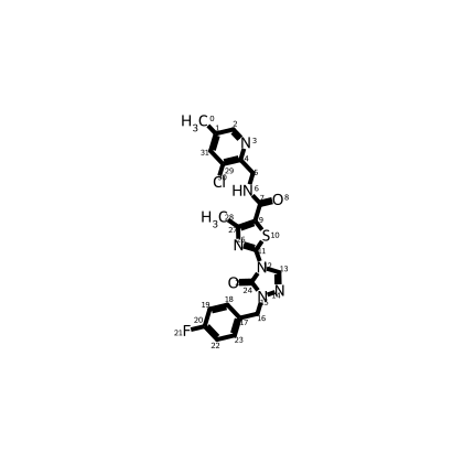 Cc1cnc(CNC(=O)c2sc(-n3cnn(Cc4ccc(F)cc4)c3=O)nc2C)c(Cl)c1